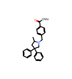 COC(=O)c1ccc(CN2CC(c3ccccc3)(c3ccccc3)CC2C)cc1